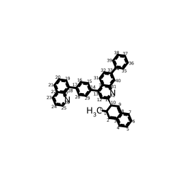 CC1C=c2ccccc2=C[C@@H]1c1cc(-c2ccc(-c3cccc4cccnc34)cc2)c2ccc(-c3ccccc3)cc2n1